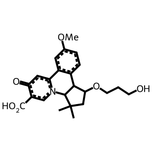 COc1ccc2c(c1)-c1cc(=O)c(C(=O)O)cn1C1C2C(OCCCO)CC1(C)C